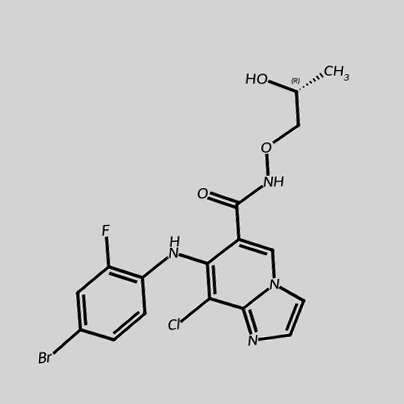 C[C@@H](O)CONC(=O)c1cn2ccnc2c(Cl)c1Nc1ccc(Br)cc1F